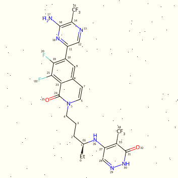 CC[C@@H](CCCn1ccc2cc(-c3cnc(C(F)(F)F)c(N)n3)c(F)c(F)c2c1=O)Nc1cn[nH]c(=O)c1C(F)(F)F